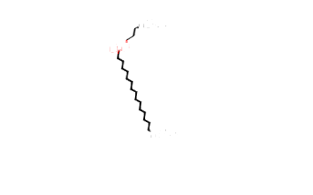 CCCCCCCCCCCCCCCCCCCCCCCCCC(=O)OCCCCCCCCCCCCC